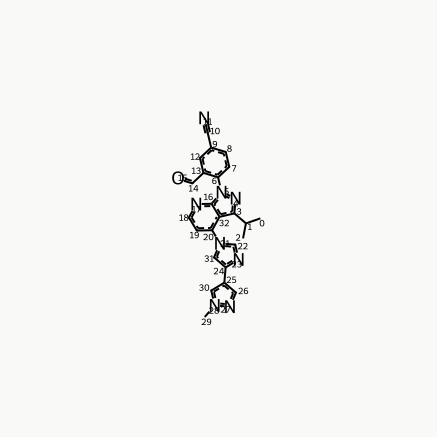 CC(C)c1nn(-c2ccc(C#N)cc2C=O)c2nccc(-n3cnc(-c4cnn(C)c4)c3)c12